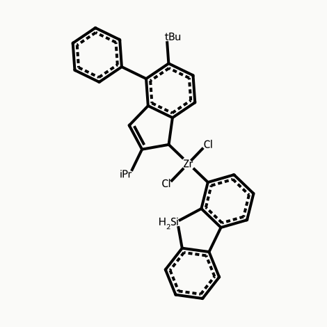 CC(C)C1=Cc2c(ccc(C(C)(C)C)c2-c2ccccc2)[CH]1[Zr]([Cl])([Cl])[c]1cccc2c1[SiH2]c1ccccc1-2